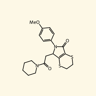 COc1ccc(N2C(=O)C3=C(SCCS3)C2CC(=O)N2CCCCC2)cc1